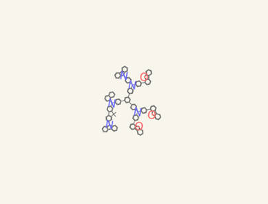 CC1(C)c2cc(N(c3ccc(-c4cc(-c5ccc(N(c6ccc(-c7cccc8c7oc7ccccc78)cc6)c6ccc(-c7cccc8c7oc7ccccc78)cc6)cc5)cc(-c5ccc(N(c6ccc(-c7cccc8c7oc7ccccc78)cc6)c6ccc(-n7c8ccccc8c8ccccc87)cc6)cc5)c4)cc3)c3cccc4ccccc34)ccc2-c2ccc(-n3c4ccccc4c4ccccc43)cc21